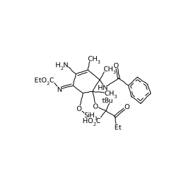 CCOC(=O)N=C1C(N)=C(C)C(C)(NC(=O)c2ccccc2)C(C)(OC(C(=O)O)(C(=O)CC)C(C)(C)C)C1O[SiH3]